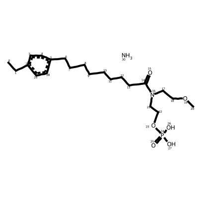 CCc1ccc(CCCCCCCCC(=O)N(CCOC)CCOP(=O)(O)O)cc1.N